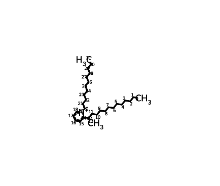 CCCCCCCCCCCCC(C)c1cccc[n+]1CCCCCCCCCCCC